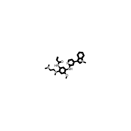 C=CC(=O)Nc1cc(Nc2cc(-c3cn(C)c4ccccc34)ccn2)c(OC)cc1N(C)CCN(C)C